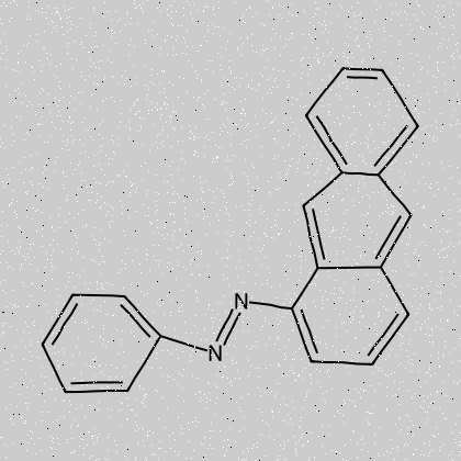 c1ccc(N=Nc2cccc3cc4ccccc4cc23)cc1